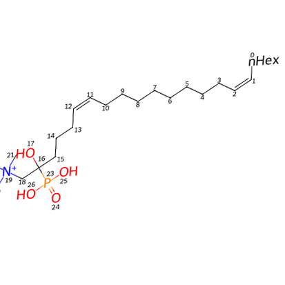 CCCCCC/C=C\CCCCCCCC/C=C\CCCC(O)(C[N+](C)(C)C)P(=O)(O)O